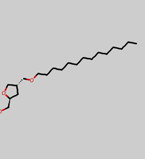 CCCCCCCCCCCCCCOC[C@H]1CO[C@H](CO)C1